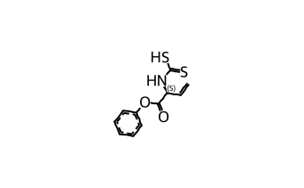 C=C[C@H](NC(=S)S)C(=O)Oc1ccccc1